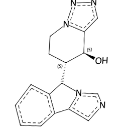 O[C@@H]1c2cnnn2CC[C@H]1C1c2ccccc2-c2cncn21